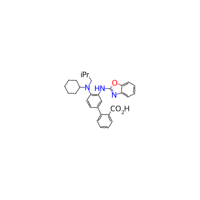 CC(C)CN(c1ccc(-c2ccccc2C(=O)O)cc1Nc1nc2ccccc2o1)C1CCCCC1